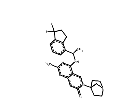 Cc1nc(N[C@H](C)c2cccc3c2CCC3(F)F)c2cn(C34CCN(CC3)C4)c(=O)cc2n1